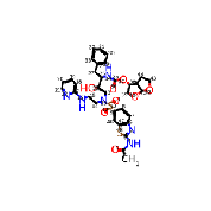 CC(=O)Nc1nc2ccc(S(=O)(=O)N(CCNc3ccccn3)CC(O)C(Cc3ccccc3)NC(=O)OC3COC4OCCC34)cc2s1